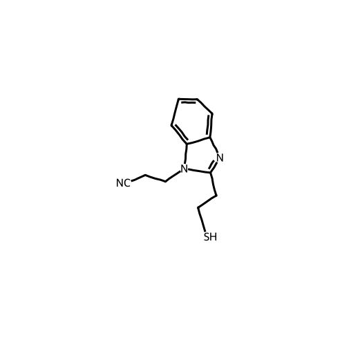 N#CCCn1c(CCS)nc2ccccc21